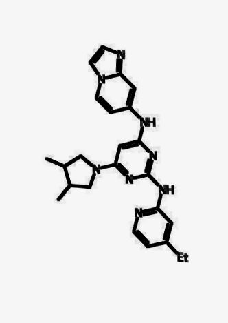 CCc1ccnc(Nc2nc(Nc3ccn4ccnc4c3)cc(N3CC(C)C(C)C3)n2)c1